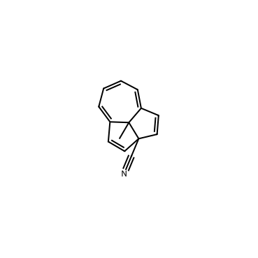 CC12C3=CC=CC=C1C=CC2(C#N)C=C3